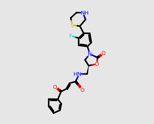 O=C(C=CC(=O)c1ccccc1)NC[C@H]1CN(c2ccc(C3CNCCS3)c(F)c2)C(=O)O1